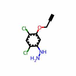 C#CCOc1cc(NN)c(Cl)cc1Cl